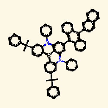 CC(C)(c1ccccc1)c1ccc2c(c1)N(c1ccccc1)c1cc(-c3c4ccccc4c(-c4ccc5ccccc5c4)c4ccccc34)cc3c1B2c1ccc(C(C)(C)c2ccccc2)cc1N3c1ccccc1